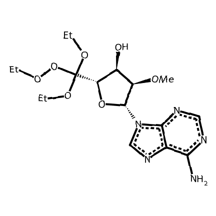 CCOOC(OCC)(OCC)[C@H]1O[C@@H](n2cnc3c(N)ncnc32)[C@H](OC)[C@@H]1O